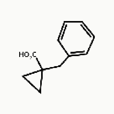 O=C(O)C1(Cc2ccccc2)CC1